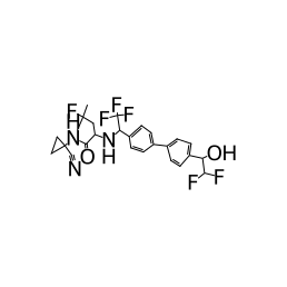 CC(C)(F)CC(NC(c1ccc(-c2ccc(C(O)C(F)F)cc2)cc1)C(F)(F)F)C(=O)NC1(C#N)CC1